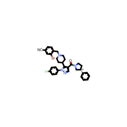 N#Cc1ccc(CN2CCC(c3c(C(=O)N4CC[C@H](c5ccccc5)C4)cnn3-c3ccc(F)cc3)CC2)c(Br)c1